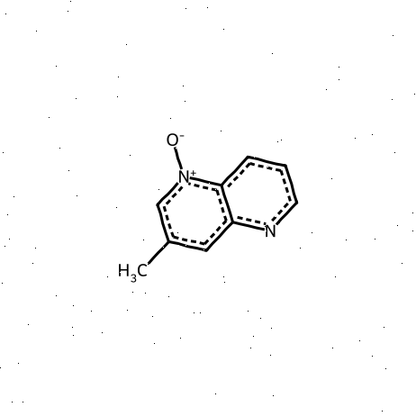 Cc1cc2ncccc2[n+]([O-])c1